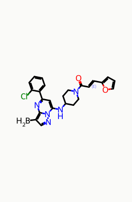 Bc1cnn2c(NC3CCN(C(=O)/C=C/c4ccco4)CC3)cc(-c3ccccc3Cl)nc12